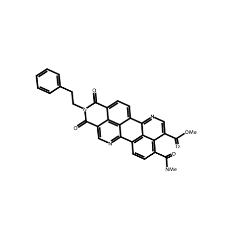 CNC(=O)c1ccc2c3ncc4c5c(ccc(c6ncc(C(=O)OC)c1c26)c53)C(=O)N(CCc1ccccc1)C4=O